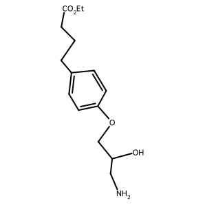 CCOC(=O)CCCc1ccc(OCC(O)CN)cc1